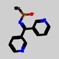 CC(C)(C)[S+]([O-])N=C(c1cccnc1)c1cccnc1